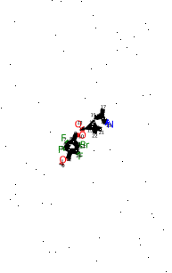 COCc1c(F)c(F)c(COC(=O)[C@@H]2[C@@H](C=C(C)C#N)C2(C)C)c(Br)c1F